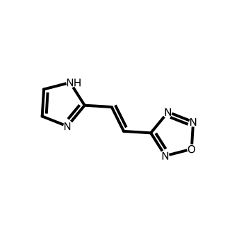 C(=C\c1ncc[nH]1)/c1nnon1